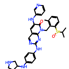 Cc1cccc([S+]([O-])C(C)C)c1Cn1c(=O)c(Nc2cccnc2)cc2cnc(Nc3ccc(NC4CCNC4)cc3)nc21